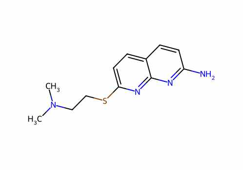 CN(C)CCSc1ccc2ccc(N)nc2n1